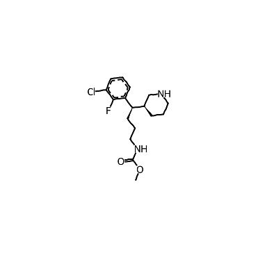 COC(=O)NCCC[C@@H](c1cccc(Cl)c1F)[C@@H]1CCCNC1